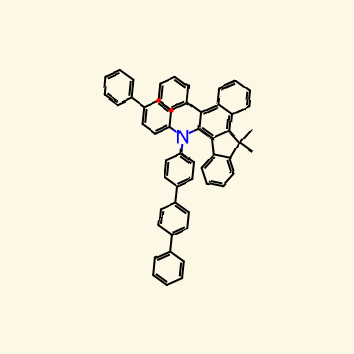 CC1(C)c2ccccc2-c2c(N(c3ccc(-c4ccccc4)cc3)c3ccc(-c4ccc(-c5ccccc5)cc4)cc3)c(-c3ccccc3)c3ccccc3c21